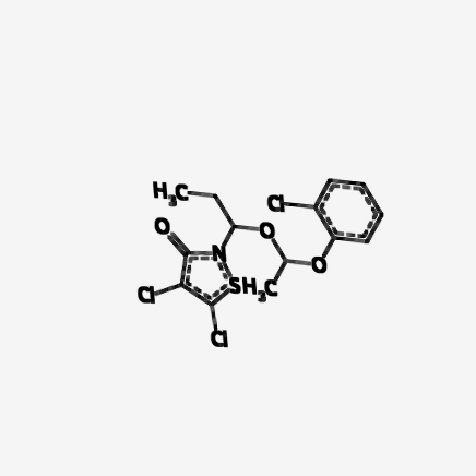 CCC(OC(C)Oc1ccccc1Cl)n1sc(Cl)c(Cl)c1=O